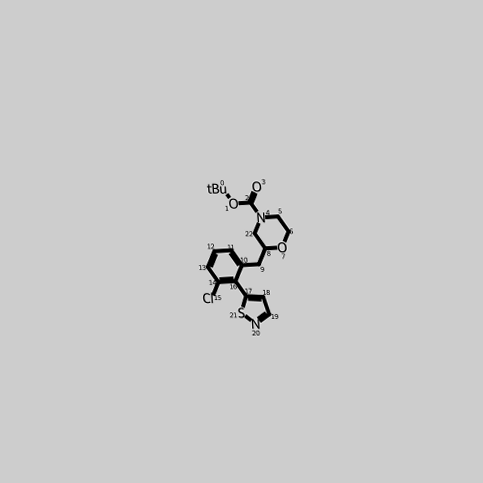 CC(C)(C)OC(=O)N1CCOC(Cc2cccc(Cl)c2-c2ccns2)C1